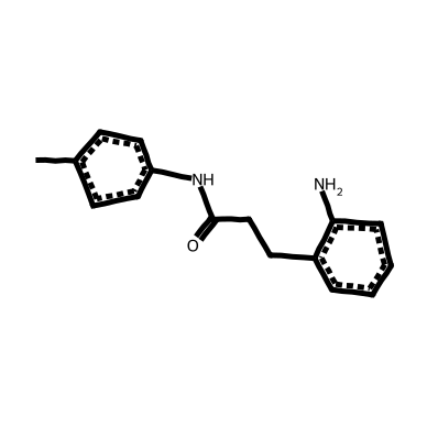 Cc1ccc(NC(=O)CCc2ccccc2N)cc1